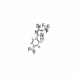 FC(F)c1ccc(-c2nc(Br)c(C(F)(F)F)[nH]2)cc1